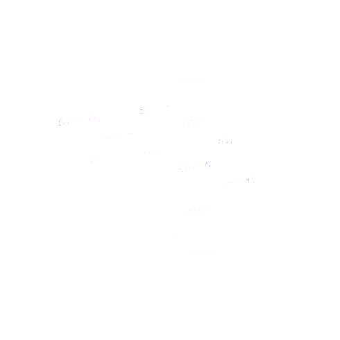 CCC(CC(ON(C(c1ccccc1)C(C)C)C(C)(C)C)c1ccccc1)C(=O)OC(C)(C)C